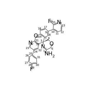 NC1=N[C@@]2(COC1)c1cc(-c3cccnc3F)ccc1Oc1ncc(-c3ccc(F)cc3)cc12